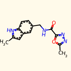 Cc1cc2cc(CNC(=O)c3nnc(C)o3)ccc2[nH]1